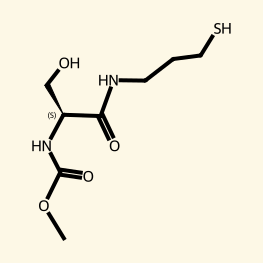 COC(=O)N[C@@H](CO)C(=O)NCCCS